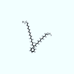 CCCCCCCCCCCCCCCC(CCCCCCCCCCC)[n+]1ccccc1